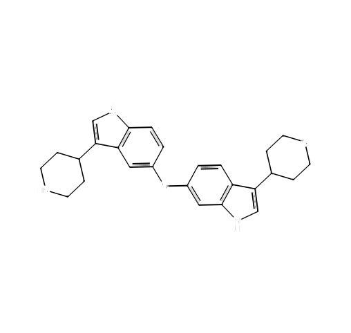 c1cc2c(C3CCNCC3)c[nH]c2cc1Nc1ccc2[nH]cc(C3CCNCC3)c2c1